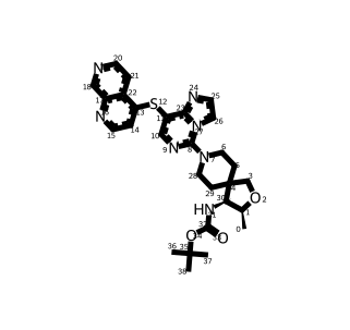 C[C@@H]1OCC2(CCN(c3ncc(Sc4ccnc5cnccc45)c4nccn34)CC2)[C@@H]1NC(=O)OC(C)(C)C